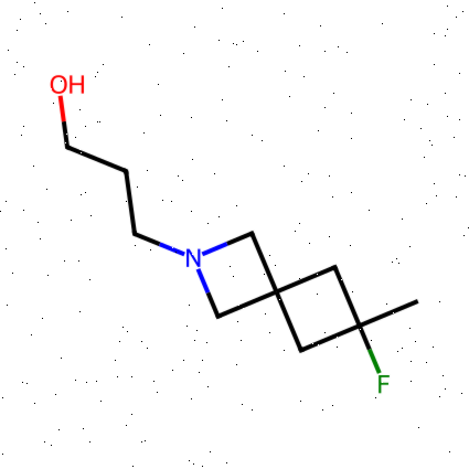 CC1(F)CC2(CN(CCCO)C2)C1